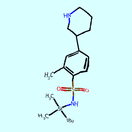 Cc1cc(C2CCCNC2)ccc1S(=O)(=O)N[Si](C)(C)C(C)(C)C